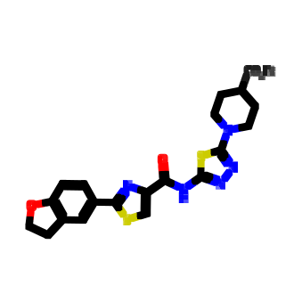 CCOC(=O)C1CCN(c2nnc(NC(=O)c3csc(-c4ccc5c(c4)CCO5)n3)s2)CC1